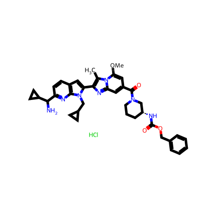 COc1cc(C(=O)N2CCC[C@@H](NC(=O)OCc3ccccc3)C2)cc2nc(-c3cc4ccc(C(N)C5CC5)nc4n3CC3CC3)c(C)n12.Cl